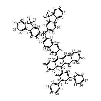 CC1(C)c2ccccc2-c2ccc(N(c3ccc4c(c3)C(C)(C)c3ccccc3-4)c3ccc4cc(-c5c6ccccc6c(-c6cc(-c7ccccc7)cc(-c7ccccc7)c6)c6cc7ccccc7cc56)ccc4c3)cc21